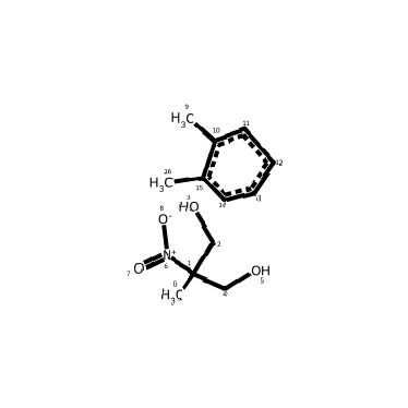 CC(CO)(CO)[N+](=O)[O-].Cc1ccccc1C